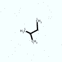 CC[C](C)C